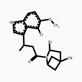 CCC1CC2(C#N)CC(C2)N1C(=O)CC(C)c1c[nH]c2ccc(OC(F)(F)F)c(Cl)c12